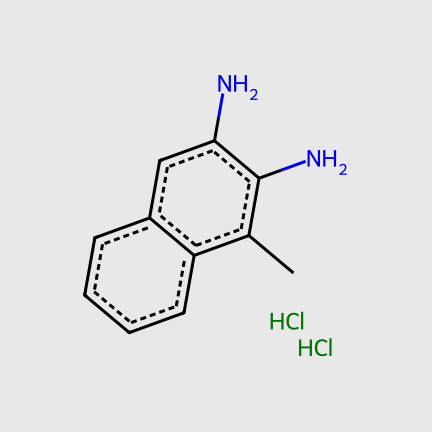 Cc1c(N)c(N)cc2ccccc12.Cl.Cl